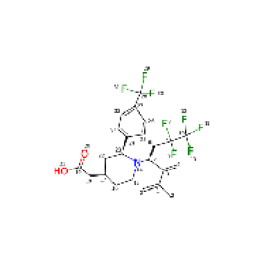 C=C(C)C(=C)[C@H](CC(F)(F)C(F)(F)F)N1CC[C@@H](CC(=O)O)C[C@H]1c1ccc(C(F)(F)F)cc1